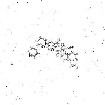 N#C[C@@]1(c2ccc3c(N)ncnn23)O[C@@H]2C(O[P@@]3(=O)OCC[C@@H](c4ccncc4)O3)[C@]2(O)[C@H]1O